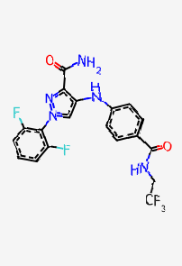 NC(=O)c1nn(-c2c(F)cccc2F)cc1Nc1ccc(C(=O)NCC(F)(F)F)cc1